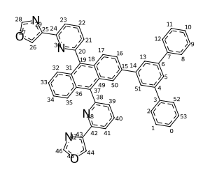 c1ccc(-c2cc(-c3ccccc3)cc(-c3ccc4c(-c5cccc(-c6cocn6)n5)c5ccccc5c(-c5cccc(-c6cocn6)n5)c4c3)c2)cc1